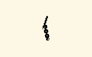 CCCCCCCc1ccc(-c2ccc(-c3ccc(OC)cc3)cc2)nc1